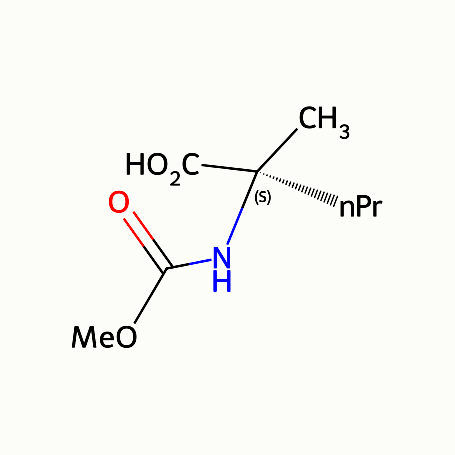 CCC[C@](C)(NC(=O)OC)C(=O)O